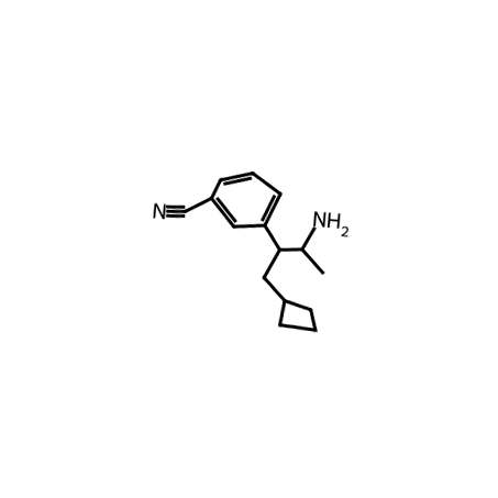 CC(N)C(CC1CCC1)c1cccc(C#N)c1